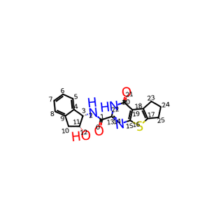 O=C(N[C@H]1c2ccccc2C[C@H]1O)c1nc2sc3c(c2c(=O)[nH]1)CCC3